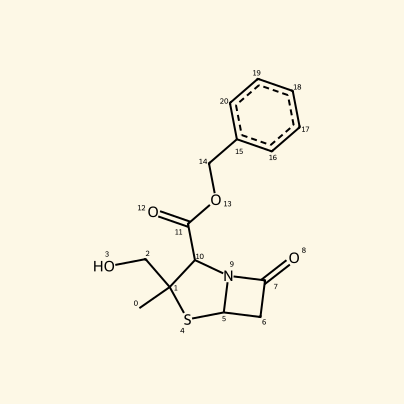 CC1(CO)SC2CC(=O)N2C1C(=O)OCc1ccccc1